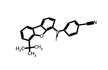 CC(C)(C)c1cccc2c1oc1c(N(I)c3ccc(C#N)cc3)cccc12